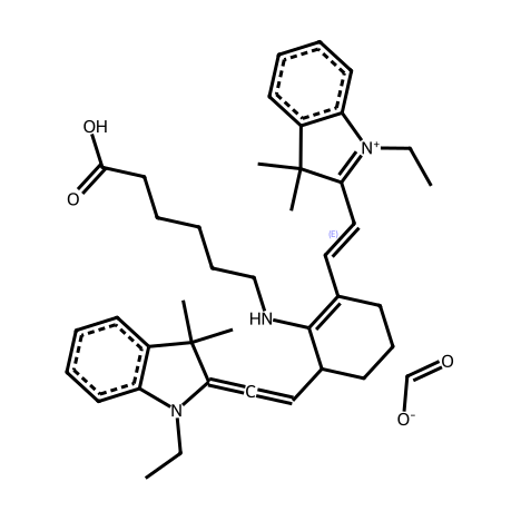 CCN1C(=C=CC2CCCC(/C=C/C3=[N+](CC)c4ccccc4C3(C)C)=C2NCCCCCC(=O)O)C(C)(C)c2ccccc21.O=C[O-]